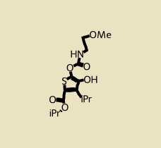 COCCNC(=O)Oc1sc(C(=O)OC(C)C)c(C(C)C)c1O